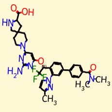 Cc1ccn(-c2cc(-c3ccc(C(=O)N(C)C)cc3)ccc2[C@@H](Oc2cc(N3CCC4(CC3)CNC(C(=O)O)C4)nc(N)n2)C(F)(F)F)n1